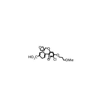 COCCCOc1cc2c([n+]([O-])c1Cl)C1=CCC(C(=O)O)=CN1C1(COC1)CO2